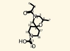 CCC(=O)N1CC(C)OC2(CCN(C(=O)O)CC2)C1